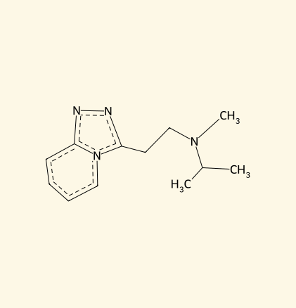 CC(C)N(C)CCc1nnc2ccccn12